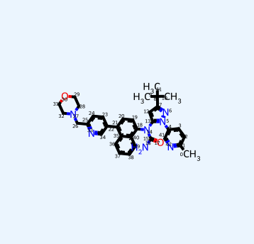 Cc1ccc(-n2nc(C(C)(C)C)cc2N(C(N)=O)c2ccc(-c3ccc(CN4CCOCC4)nc3)c3ccccc23)cn1